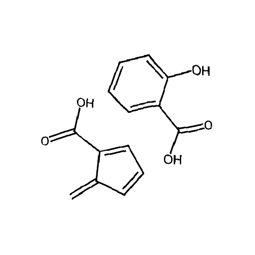 C=C1C=CC=C1C(=O)O.O=C(O)c1ccccc1O